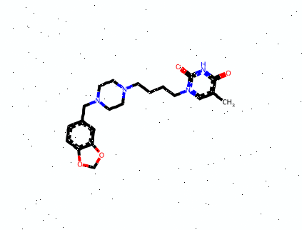 Cc1cn(CCCCN2CCN(Cc3ccc4c(c3)OCO4)CC2)c(=O)[nH]c1=O